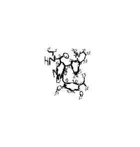 CCNC(=O)c1noc(-c2cc(C(C)C)c(OC)cc2OC)c1-c1ccc2c(c1)N(C)CCC2